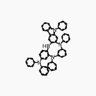 B1c2ccc(N(c3ccccc3)c3ccccc3)cc2N(c2ccccc2)c2cccc(c2)N(c2ccccc2)c2cc3c(cc21)c1ccccc1n3-c1ccccc1